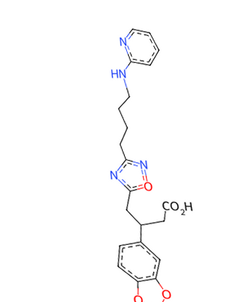 O=C(O)CC(Cc1nc(CCCCNc2ccccn2)no1)c1ccc2c(c1)OCO2